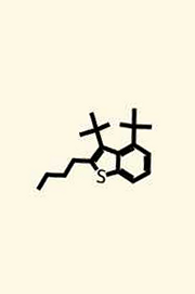 CCCCc1sc2cccc(C(C)(C)C)c2c1C(C)(C)C